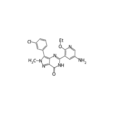 CCOc1ncc(N)cc1-c1nc2c(-c3cccc(Cl)c3)n(C)nc2c(=O)[nH]1